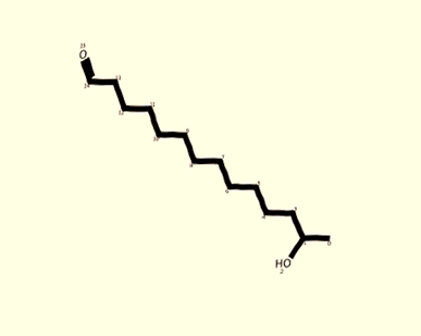 CC(O)CCCCCCCCCCC[C]=O